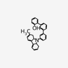 CC1=CC=C2C3=CC=CCC3N(c3cccc(-c4cccc(-c5ccccc5O)c4)c3)C2C1